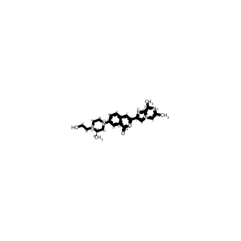 Cc1cn2cc(-c3cc4ccc(N5CCN(CCO)[C@@H](C)C5)cc4c(=O)o3)nc2c(C)n1